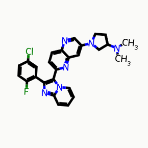 CN(C)C1CCN(c2cnc3ccc(-c4c(-c5cc(Cl)ccc5F)nc5ccccn45)nc3c2)C1